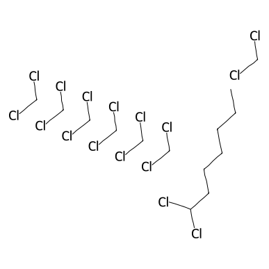 CCCCCCC(Cl)Cl.ClCCl.ClCCl.ClCCl.ClCCl.ClCCl.ClCCl.ClCCl